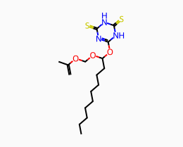 C=C(C)OCOC(CCCCCCCCC)Oc1nc(=S)[nH]c(=S)[nH]1